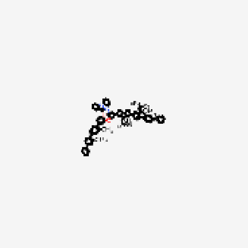 CCCCC(CC)CC1(C)c2cc(-c3ccccc3)ccc2-c2ccc(-c3ccc4c(c3)C(C)(CC(CC)CCCC)c3cc(-c5cc6c7c(c5)-n5c8ccccc8n8c9ccccc9c(c58)B7c5ccc(-c7ccc(-c8ccc(-c9ccccc9)cc8C)cc7C)cc5O6)ccc3-4)cc21